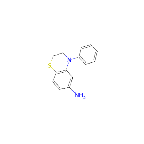 Nc1ccc2c(c1)N(c1ccccc1)CCS2